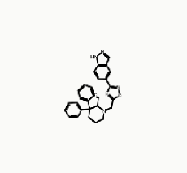 O=CC1N(Cc2nc(-c3ccc4[nH]ncc4c3)no2)CCCC1(c1ccccc1)c1ccccc1